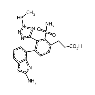 CPn1nnc(-c2c(-c3cccc4sc(N)nc34)ccc(CCC(=O)O)c2S(N)(=O)=O)n1